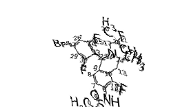 CCS(=O)(=O)Nc1ccc2c(c1F)C[C@@H](C)N(CC(C)(C)F)[C@@H]2c1c(F)cc(Br)cc1F